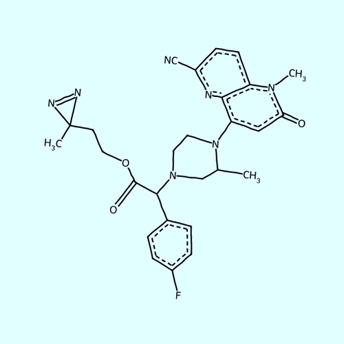 CC1CN(C(C(=O)OCCC2(C)N=N2)c2ccc(F)cc2)CCN1c1cc(=O)n(C)c2ccc(C#N)nc12